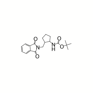 CC(C)(C)OC(=O)NC1CCCC1CN1C(=O)c2ccccc2C1=O